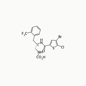 O=C(O)NC[C@H](Cc1ccccc1C(F)(F)F)NC(=O)c1cc(Br)c(Cl)s1